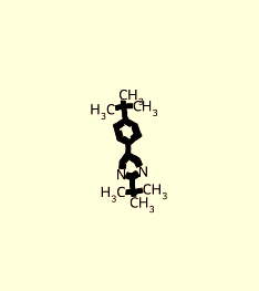 CC(C)(C)c1ccc(-c2cnc(C(C)(C)C)nc2)cc1